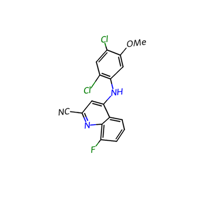 COc1cc(Nc2cc(C#N)nc3c(F)cccc23)c(Cl)cc1Cl